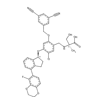 C[C@@](CO)(NCc1cc(Cl)c(O[C@H]2CCc3c(-c4ccc5c(c4F)OCCO5)cccc32)cc1OCc1cc(C#N)cc(C#N)c1)C(=O)O